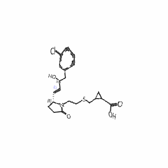 O=C(O)C1CC1CSCCN1C(=O)CC[C@@H]1/C=C/[C@@H](O)Cc1cccc(Cl)c1